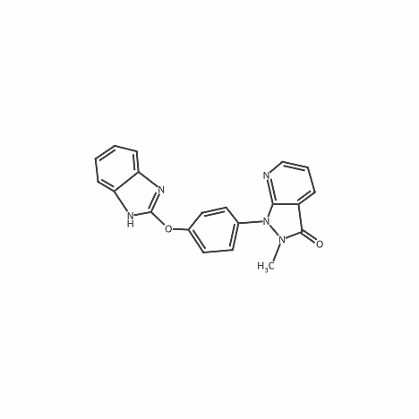 Cn1c(=O)c2cccnc2n1-c1ccc(Oc2nc3ccccc3[nH]2)cc1